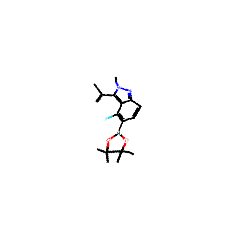 CC(C)c1c2c(F)c(B3OC(C)(C)C(C)(C)O3)ccc2nn1C